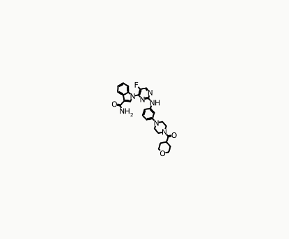 NC(=O)c1cn(-c2nc(Nc3cccc(N4CCN(C(=O)C5CCOCC5)CC4)c3)ncc2F)c2ccccc12